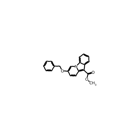 COC(=O)c1c2ccccc2n2cc(OCc3ccccc3)ccc12